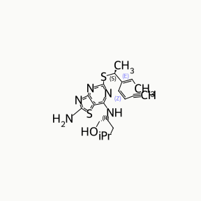 C#C/C=C\C(=C/C)[C@H](C)Sc1nc(N[C@@H](CO)CC(C)C)c2sc(N)nc2n1